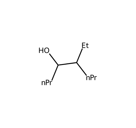 CCCC(O)C(CC)CCC